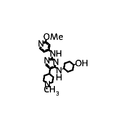 COc1cc(Nc2ncc(C3CCN(C)CC3)c(N[C@H]3CC[C@H](O)CC3)n2)ccn1